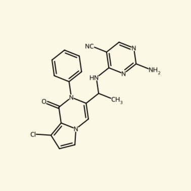 CC(Nc1nc(N)ncc1C#N)c1cn2ccc(Cl)c2c(=O)n1-c1ccccc1